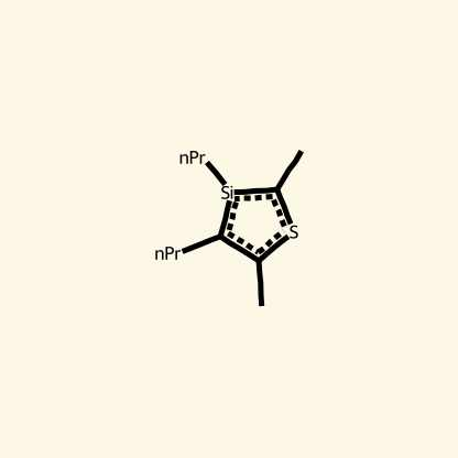 CCCc1c(C)sc(C)[si]1CCC